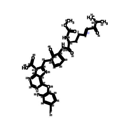 COC(=O)N[C@@H](CC/C=C/C(=O)N(C)C)C(=O)Nc1cccn(Cc2nc3c(Oc4ccc(F)cc4F)ncnc3n2C(=O)O)c1=O